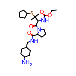 CCOC(=O)NC(C(=O)N1CCCC1C(=O)NCC1CCC(N)CC1)C(C)(C)SC1CCCC1